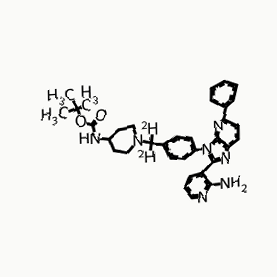 [2H]C([2H])(c1ccc(-n2c(-c3cccnc3N)nc3ccc(-c4ccccc4)nc32)cc1)N1CCC(NC(=O)OC(C)(C)C)CC1